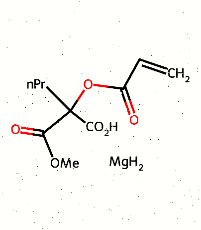 C=CC(=O)OC(CCC)(C(=O)O)C(=O)OC.[MgH2]